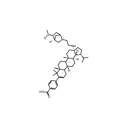 CC(C)[C@@H]1CC[C@]2(NCCN3C[C@@H]4CC3CN4[S+](C)[O-])CC[C@]3(C)[C@H](CC[C@@H]4[C@@]5(C)CC=C(c6ccc(C(=O)O)cc6)C(C)(C)[C@@H]5CC[C@]43C)[C@@H]12